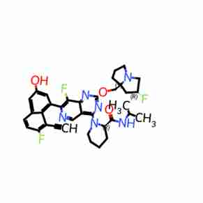 C#Cc1c(F)ccc2cc(O)cc(-c3ncc4c(N5CCCC[C@@H]5C(=O)NC(C)C)nc(OC[C@@]56CCCN5C[C@H](F)C6)nc4c3F)c12